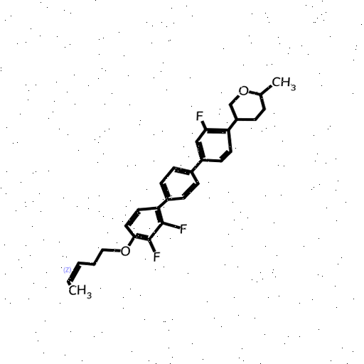 C/C=C\CCOc1ccc(-c2ccc(-c3ccc(C4CCC(C)OC4)c(F)c3)cc2)c(F)c1F